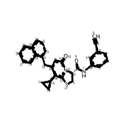 C#Cc1cccc(NC(=O)[C@@H]2CSc3c(C4CC4)c(Cc4cccc5ccccc45)cc(=O)n32)c1